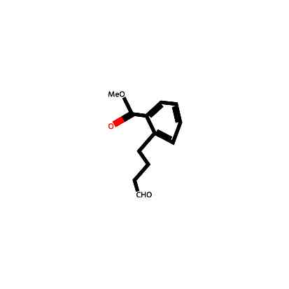 COC(=O)c1ccccc1CCCC=O